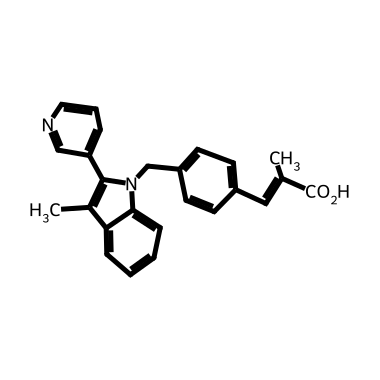 C/C(=C\c1ccc(Cn2c(-c3cccnc3)c(C)c3ccccc32)cc1)C(=O)O